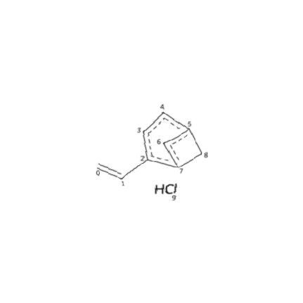 C=Cc1ccc2cc1C2.Cl